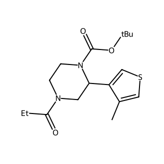 CCC(=O)N1CCN(C(=O)OC(C)(C)C)C(c2cscc2C)C1